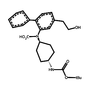 CC(C)(C)OC(=O)N[C@H]1CC[C@H](N(C(=O)O)c2cc(CCO)ccc2-c2ccccc2)CC1